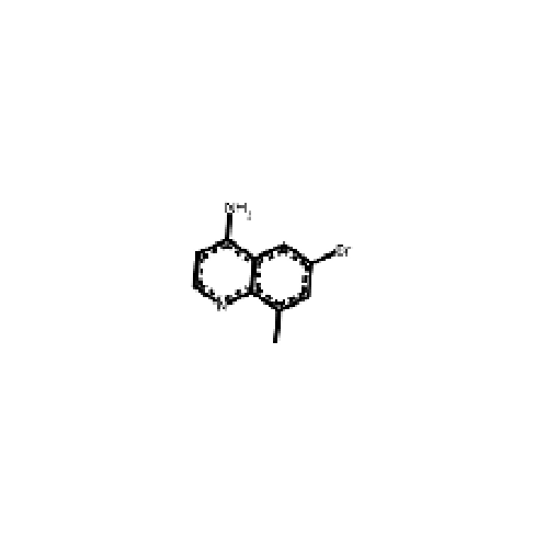 Cc1cc(Br)cc2c(N)ccnc12